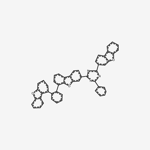 c1ccc(-c2nc(-c3ccc4c(c3)oc3ccccc34)nc(-c3ccc4c(c3)oc3c(-c5ccccc5-c5cccc6oc7ccccc7c56)cccc34)n2)cc1